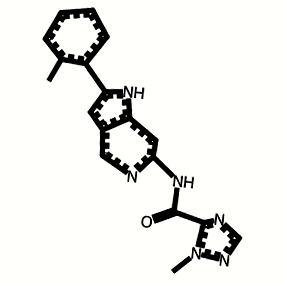 Cc1ccccc1-c1cc2cnc(NC(=O)c3ncnn3C)cc2[nH]1